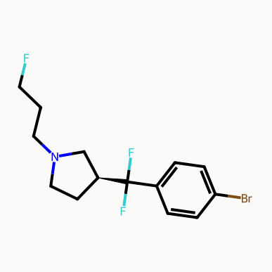 FCCCN1CC[C@H](C(F)(F)c2ccc(Br)cc2)C1